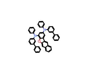 c1ccc(-c2cccc(N(c3ccccc3)c3cc(N(c4ccccc4)c4cccc(-c5ccccc5)c4)c4oc5cc6ccccc6cc5c4c3)c2)cc1